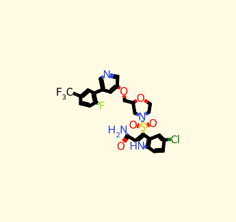 NC(=O)c1[nH]c2ccc(Cl)cc2c1S(=O)(=O)N1CCOC(COc2cncc(-c3cc(C(F)(F)F)ccc3F)c2)C1